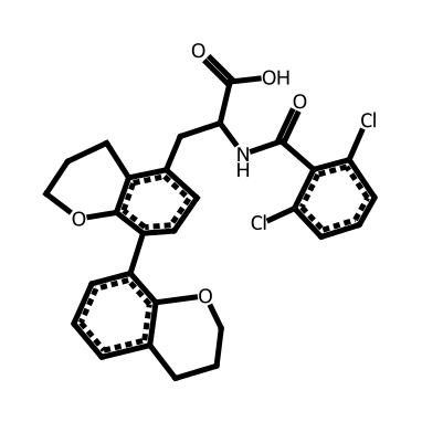 O=C(NC(Cc1ccc(-c2cccc3c2OCCC3)c2c1CCCO2)C(=O)O)c1c(Cl)cccc1Cl